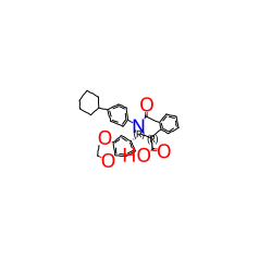 O=C(O)[C@@H]1c2ccccc2C(=O)N(c2ccc(C3CCCCC3)cc2)[C@H]1c1ccc2c(c1)OCCO2